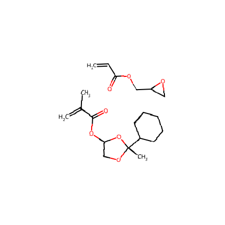 C=C(C)C(=O)OC1COC(C)(C2CCCCC2)O1.C=CC(=O)OCC1CO1